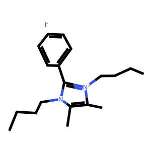 CCCCn1c(C)c(C)[n+](CCCC)c1-c1ccccc1.[I-]